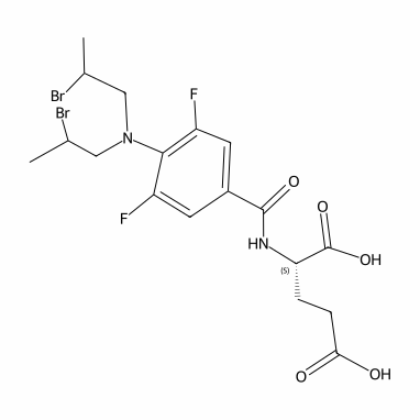 CC(Br)CN(CC(C)Br)c1c(F)cc(C(=O)N[C@@H](CCC(=O)O)C(=O)O)cc1F